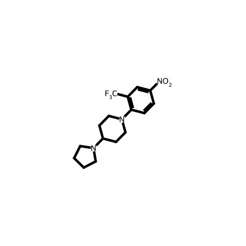 O=[N+]([O-])c1ccc(N2CCC(N3CCCC3)CC2)c(C(F)(F)F)c1